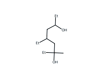 CCC(O)CC(CC)CC(C)(O)CC